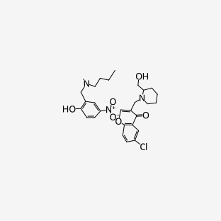 CCCCN(C)Cc1cc([N+](=O)[O-])ccc1O.O=c1c(CN2CCCCC2CO)coc2ccc(Cl)cc12